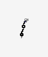 N#C/C(F)=C/CC[C@H]1CC[C@H](CCCCc2ccc(F)cc2)CC1